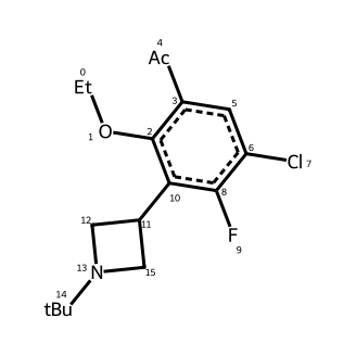 CCOc1c(C(C)=O)cc(Cl)c(F)c1C1CN(C(C)(C)C)C1